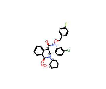 O=C(NOCc1ccc(F)cc1)[C@@H]1c2ccccc2C(=O)N([C@H]2CCCC[C@@H]2O)[C@H]1c1ccc(Cl)cc1